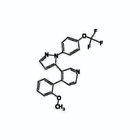 COc1ccccc1-c1ccncc1-c1ccnn1-c1ccc(OC(F)(F)F)cc1